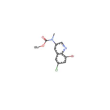 CN(C(=O)OC(C)(C)C)c1cnc2c(Br)cc(Cl)cc2c1